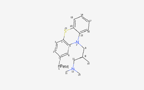 CCCCCc1ccc2c(c1)N(CC(C)CN(C)C)c1ccccc1S2